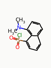 CN(C)c1cccc2cccc(S(=O)(=O)Cl)c12